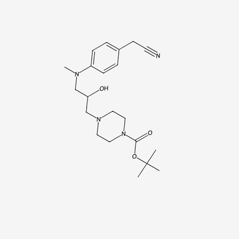 CN(CC(O)CN1CCN(C(=O)OC(C)(C)C)CC1)c1ccc(CC#N)cc1